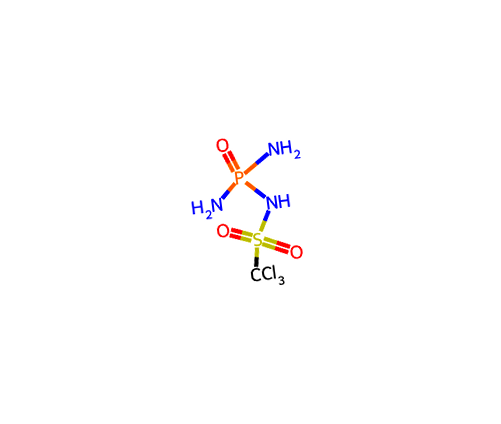 NP(N)(=O)NS(=O)(=O)C(Cl)(Cl)Cl